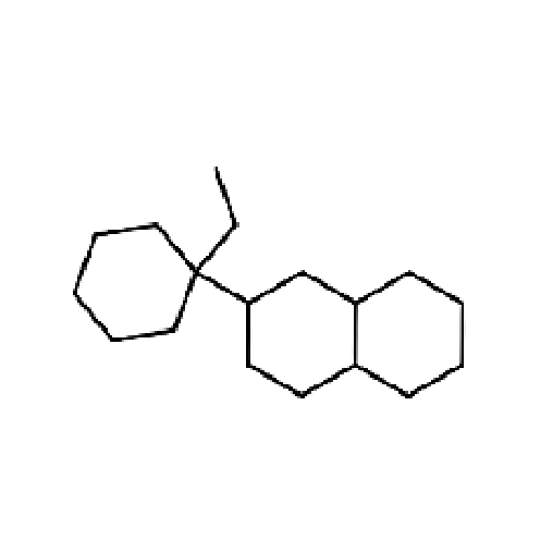 CCC1(C2CCC3CCCCC3C2)CCCCC1